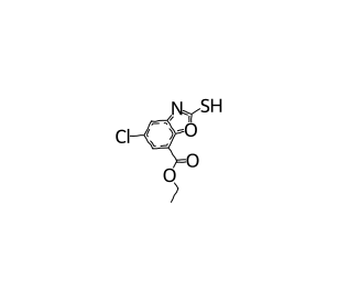 CCOC(=O)c1cc(Cl)cc2nc(S)oc12